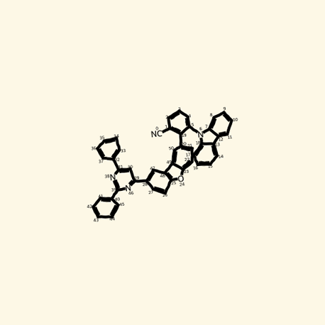 N#Cc1cccc(-n2c3ccccc3c3ccccc32)c1-c1ccc2oc3ccc(-c4cc(-c5ccccc5)nc(-c5ccccc5)n4)cc3c2c1